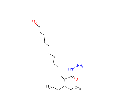 CCC(CC)=C(CCCCCCCCCC=O)C(=O)NN